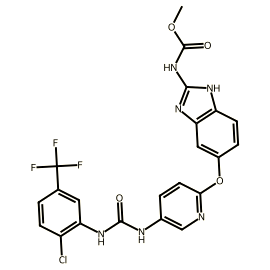 COC(=O)Nc1nc2cc(Oc3ccc(NC(=O)Nc4cc(C(F)(F)F)ccc4Cl)cn3)ccc2[nH]1